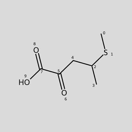 CSC(C)CC(=O)C(=O)O